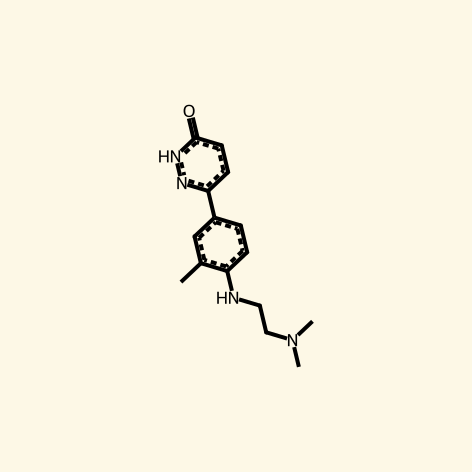 Cc1cc(-c2ccc(=O)[nH]n2)ccc1NCCN(C)C